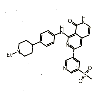 CCN1CCC(c2ccc(Nc3nc(-c4cncc(S(C)(=O)=O)c4)cc4cc[nH]c(=O)c34)cc2)CC1